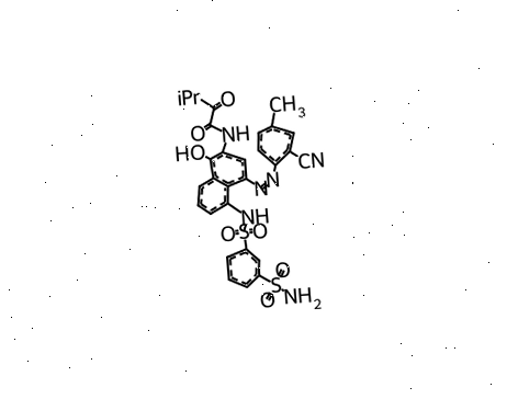 Cc1ccc(/N=N\c2cc(NC(=O)C(=O)C(C)C)c(O)c3cccc(NS(=O)(=O)c4cccc(S(N)(=O)=O)c4)c23)c(C#N)c1